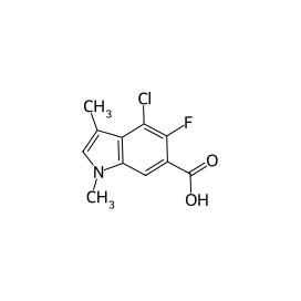 Cc1cn(C)c2cc(C(=O)O)c(F)c(Cl)c12